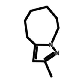 Cc1cc2n(n1)CCCCCC2